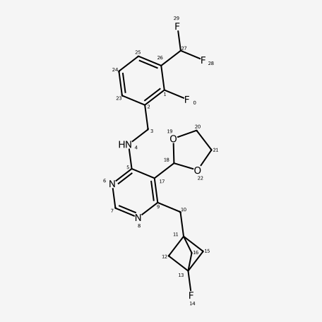 Fc1c(CNc2ncnc(CC34CC(F)(C3)C4)c2C2OCCO2)cccc1C(F)F